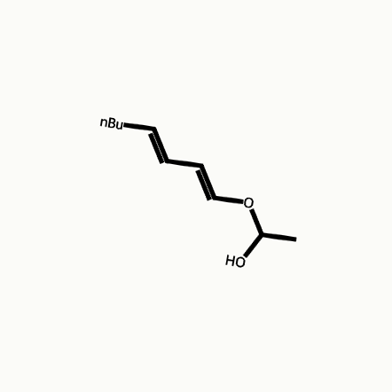 CCCCC=CC=COC(C)O